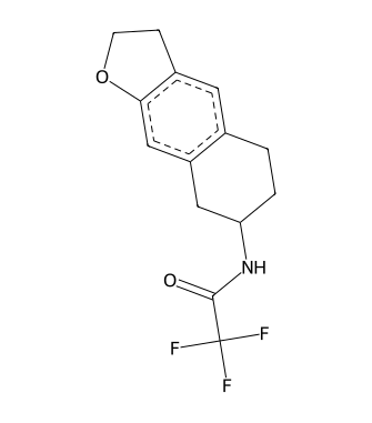 O=C(NC1CCc2cc3c(cc2C1)OCC3)C(F)(F)F